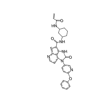 C=CC(=O)NC1CCCC(NC(=O)c2sc3nccc4c3c2NC(=O)N4c2ccc(Oc3ccccc3)nc2)C1